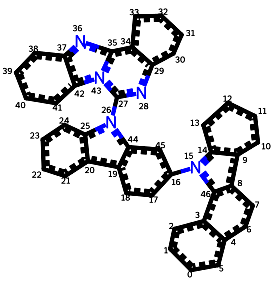 c1ccc2c(c1)ccc1c3ccccc3n(-c3ccc4c5ccccc5n(-c5nc6ccccc6c6nc7ccccc7n56)c4c3)c21